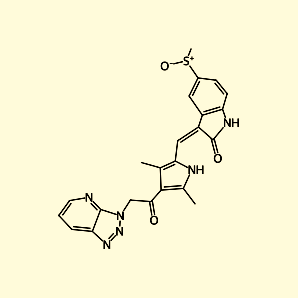 Cc1[nH]c(/C=C2\C(=O)Nc3ccc([S+](C)[O-])cc32)c(C)c1C(=O)Cn1nnc2cccnc21